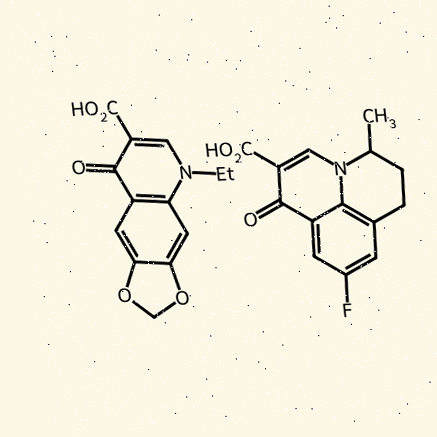 CC1CCc2cc(F)cc3c(=O)c(C(=O)O)cn1c23.CCn1cc(C(=O)O)c(=O)c2cc3c(cc21)OCO3